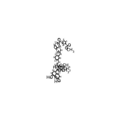 COC(=O)c1ccc(C(=O)N2CCOC3(CCN(Cc4cccc(CCNC[C@H](O[Si](C)(C)C(C)(C)C)c5ccc(O)c6[nH]c(=O)ccc56)c4)CC3)C2)s1